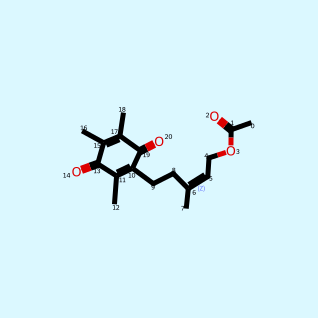 CC(=O)OC/C=C(/C)CCC1=C(C)C(=O)C(C)=C(C)C1=O